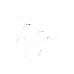 O=C([O-])COCC(=O)[O-].O=C([O-])COCC(=O)[O-].[Zr+4]